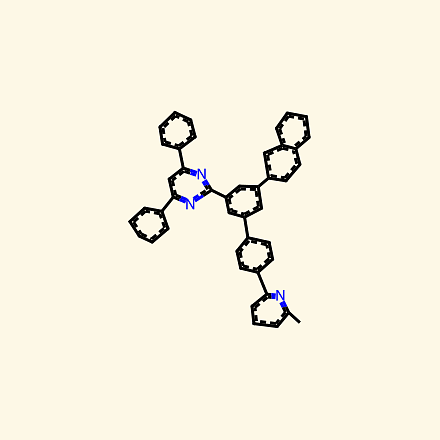 Cc1cccc(-c2ccc(-c3cc(-c4ccc5ccccc5c4)cc(-c4nc(-c5ccccc5)cc(-c5ccccc5)n4)c3)cc2)n1